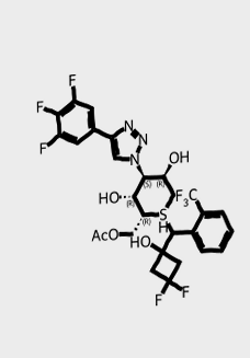 CC(=O)OC[C@@H]1[C@H](O)[C@@H](n2cc(-c3cc(F)c(F)c(F)c3)nn2)[C@@H](O)C[SH]1C(c1ccccc1C(F)(F)F)C1(O)CC(F)(F)C1